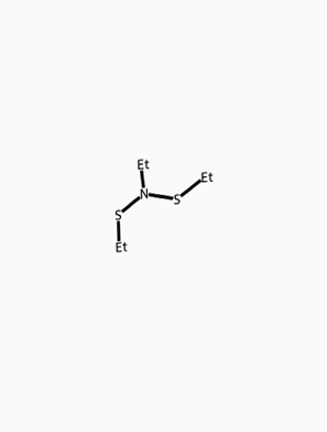 CCSN(CC)SCC